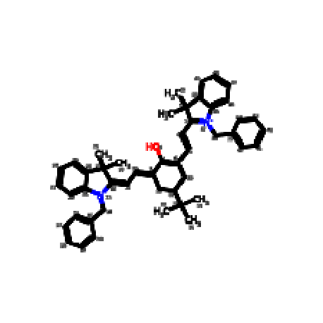 CC1(C)C(/C=C/C2=C(O)C(=C/C=C3/N(Cc4ccccc4)c4ccccc4C3(C)C)/CC(C(C)(C)C)C2)=[N+](Cc2ccccc2)c2ccccc21